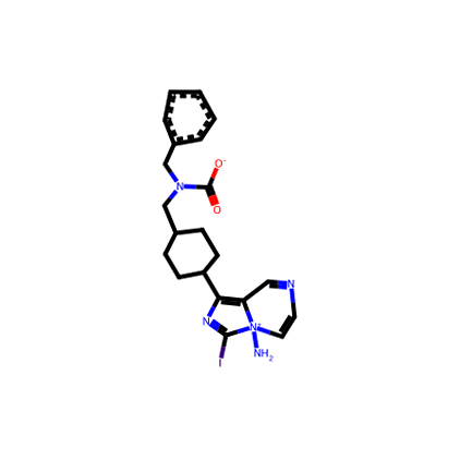 N[N+]12C=CN=CC1=C(C1CCC(CN(Cc3ccccc3)C(=O)[O-])CC1)N=C2I